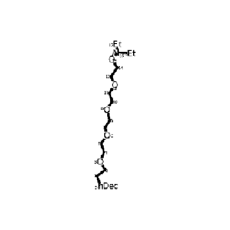 CCCCCCCCCCCCOCCOCCOCCOCC[O][Al]([CH2]C)[CH2]C